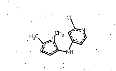 Cc1ncc(Nc2ccnc(Cl)c2)n1C